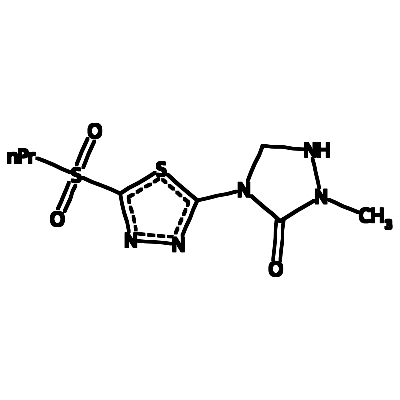 CCCS(=O)(=O)c1nnc(N2CNN(C)C2=O)s1